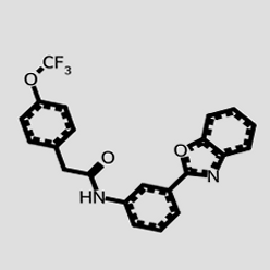 O=C(Cc1ccc(OC(F)(F)F)cc1)Nc1cccc(-c2nc3ccccc3o2)c1